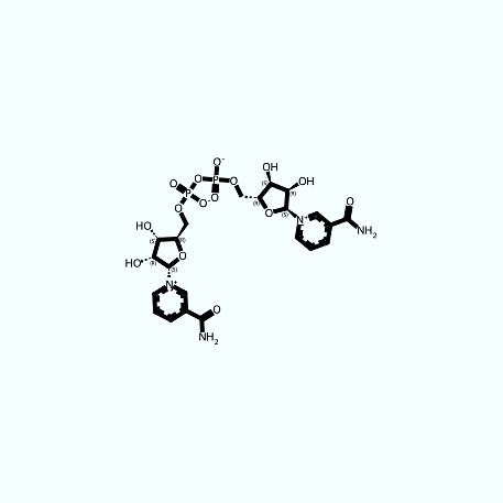 NC(=O)c1ccc[n+]([C@H]2O[C@H](COP(=O)([O-])OP(=O)([O-])OC[C@H]3O[C@H]([n+]4cccc(C(N)=O)c4)[C@H](O)[C@@H]3O)[C@@H](O)[C@H]2O)c1